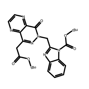 CC(C)(C)OC(=O)Cc1nn(Cc2nc3ccccc3n2C(=O)OC(C)(C)C)c(=O)c2nccnc12